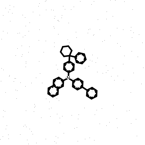 c1ccc(-c2ccc(N(c3ccc(C4(c5ccccc5)CCCCC4)cc3)c3ccc4ccccc4c3)cc2)cc1